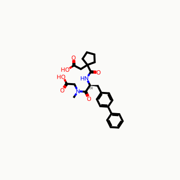 CN(CC(=O)O)C(=O)[C@H](Cc1ccc(-c2ccccc2)cc1)NC(=O)C1(CC(=O)O)CCCC1